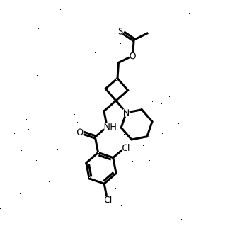 CC(=S)OCC1CC(CNC(=O)c2ccc(Cl)cc2Cl)(N2CCCCC2)C1